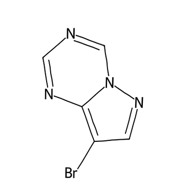 Brc1cnn2cncnc12